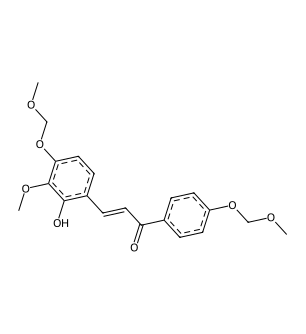 COCOc1ccc(C(=O)C=Cc2ccc(OCOC)c(OC)c2O)cc1